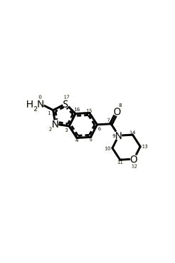 Nc1nc2ccc(C(=O)N3CCOCC3)cc2s1